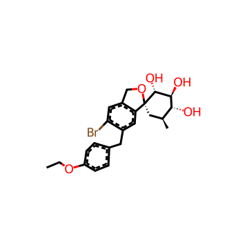 CCOc1ccc(Cc2cc3c(cc2Br)CO[C@]32C[C@H](C)[C@@H](O)[C@H](O)[C@H]2O)cc1